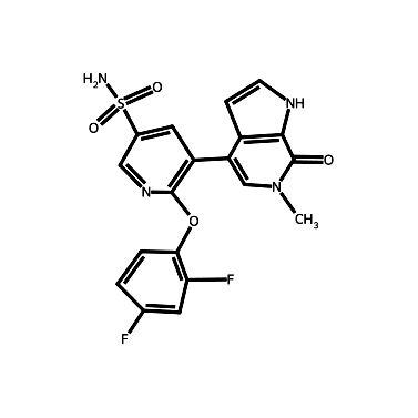 Cn1cc(-c2cc(S(N)(=O)=O)cnc2Oc2ccc(F)cc2F)c2cc[nH]c2c1=O